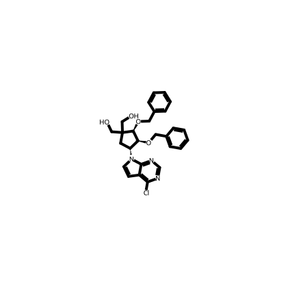 OCC1(CO)C[C@@H](n2ccc3c(Cl)ncnc32)[C@H](OCc2ccccc2)[C@@H]1OCc1ccccc1